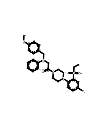 CCS(=O)(=O)c1cc(F)ccc1N1CCN(C(=O)CN(Cc2ccc(OC)cc2)c2ccccc2)CC1